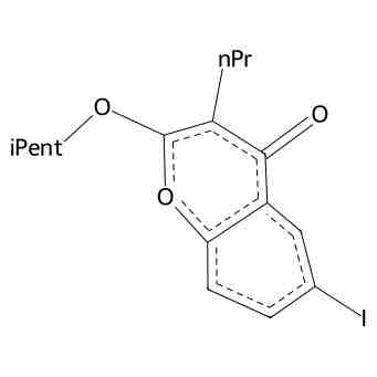 CCCc1c(OC(C)CCC)oc2ccc(I)cc2c1=O